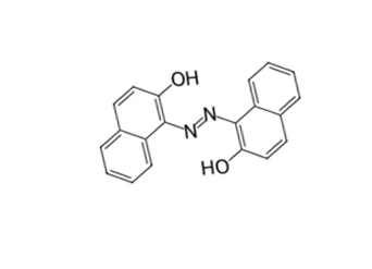 Oc1ccc2ccccc2c1N=Nc1c(O)ccc2ccccc12